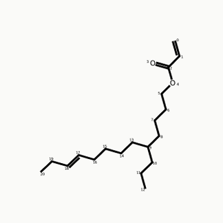 C=CC(=O)OCCCCC(CCC)CCCCC=CCC